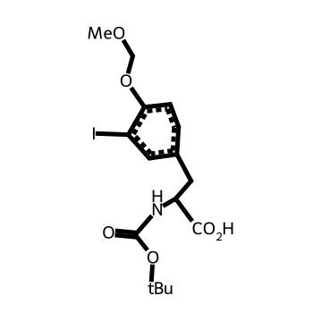 COCOc1ccc(CC(NC(=O)OC(C)(C)C)C(=O)O)cc1I